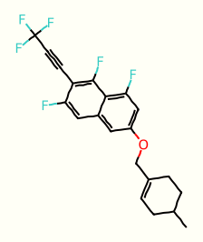 CC1CC=C(COc2cc(F)c3c(F)c(C#CC(F)(F)F)c(F)cc3c2)CC1